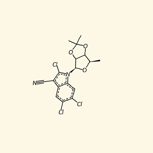 C[C@H]1O[C@@H](n2c(Cl)c(C#N)c3cc(Cl)c(Cl)cc32)C2OC(C)(C)OC21